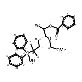 CCC(OC(=O)c1ccccc1)[C@@H](CCC(C)(C)[Si](O)(c1ccccc1)c1ccccc1)OCOC